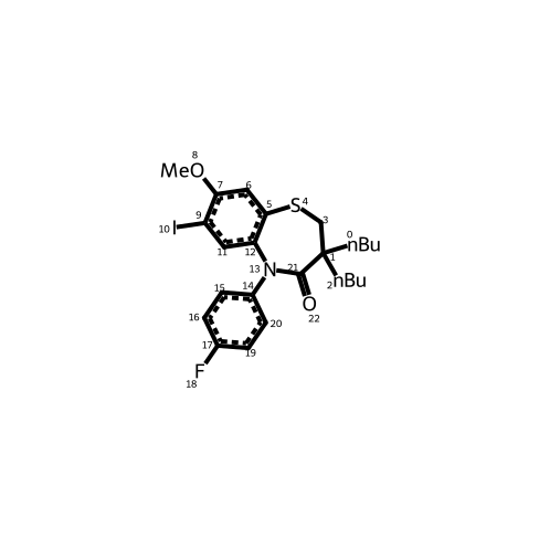 CCCCC1(CCCC)CSc2cc(OC)c(I)cc2N(c2ccc(F)cc2)C1=O